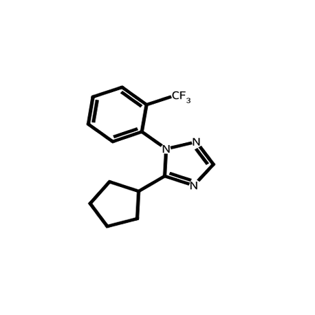 FC(F)(F)c1ccccc1-n1ncnc1C1CCCC1